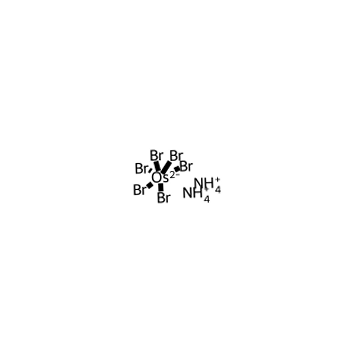 [Br][Os-2]([Br])([Br])([Br])([Br])[Br].[NH4+].[NH4+]